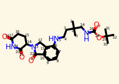 CC(C)(CCNc1cccc2c1CN(C1CCC(=O)NC1=O)C2=O)CNC(=O)OC(C)(C)C